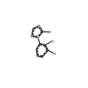 Clc1cccc(-n2ncnc2Br)c1Cl